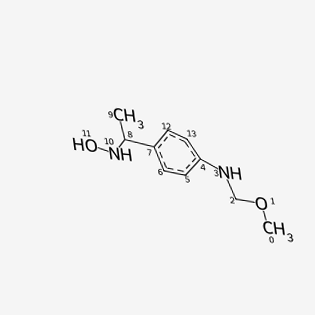 COCNc1ccc(C(C)NO)cc1